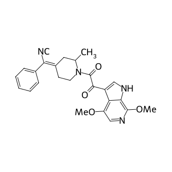 [C-]#[N+]C(=C1CCN(C(=O)C(=O)c2c[nH]c3c(OC)ncc(OC)c23)C(C)C1)c1ccccc1